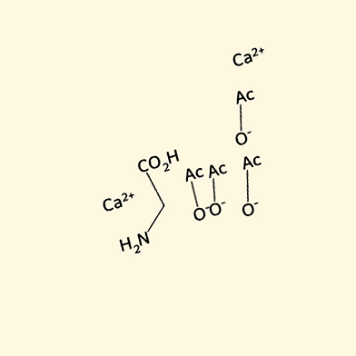 CC(=O)[O-].CC(=O)[O-].CC(=O)[O-].CC(=O)[O-].NCC(=O)O.[Ca+2].[Ca+2]